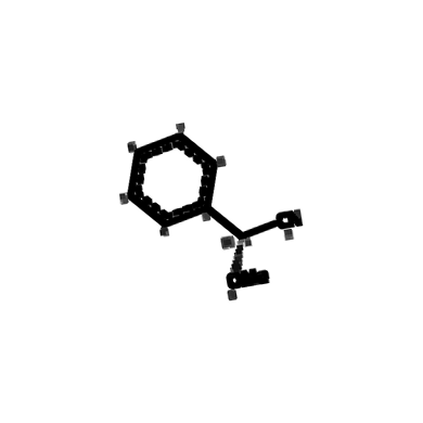 CO[C@@H](C#N)c1ccccc1